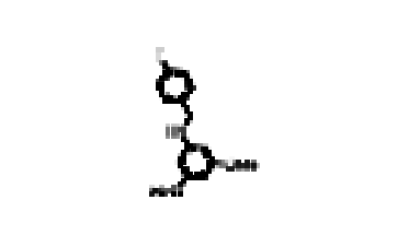 COc1cc(NCc2ccc(F)cc2)cc(OC)c1